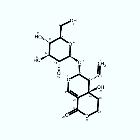 C=C[C@H]1[C@H](O[C@@H]2O[C@H](CO)[C@@H](O)[C@H](O)[C@H]2O)OC=C2C(=O)OCC[C@]21O